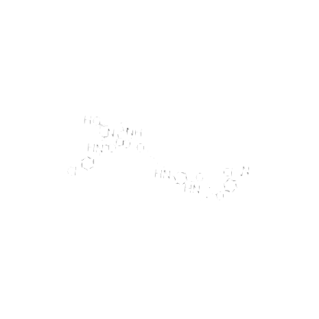 CC(C)(C)[C@H](NC(=O)COCCCCCNc1ccc(C(=O)N[C@H]2C(C)(C)[C@H](Oc3ccc(C#N)c(Cl)c3)C2(C)C)cc1)C(=O)N1C[C@H](O)C[C@H]1C(=O)NCc1ccc(Cl)cc1